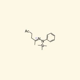 CC(=O)CC/C(C)=N/N(c1ccccc1)[Si](C)(C)C